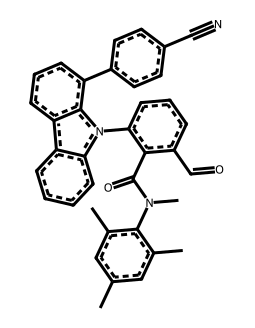 Cc1cc(C)c(N(C)C(=O)c2c(C=O)cccc2-n2c3ccccc3c3cccc(-c4ccc(C#N)cc4)c32)c(C)c1